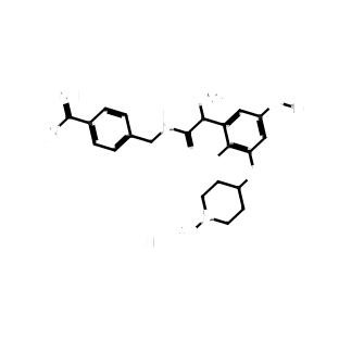 CCOc1cc(OC2CCN(C(C)=O)CC2)c(F)c(C(OC)C(=O)NCc2ccc(C(=N)N)cc2)c1.Cl